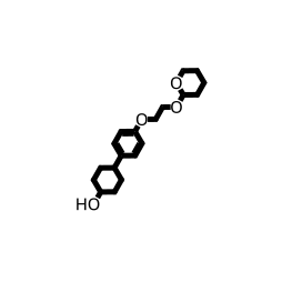 OC1CCC(c2ccc(OCCOC3CCCCO3)cc2)CC1